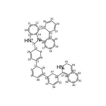 C1=CC(C2=CCC(C3Nc4cccc5c4N3c3ccccc3C3C=CC=CC53)C=C2)CC(C2=CC=CC(C3=c4ccccc4=CCN3)C2)=C1